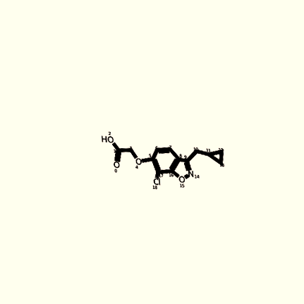 O=C(O)COc1ccc2c(CC3CC3)noc2c1Cl